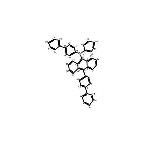 c1ccc(-c2ccc(-c3c4ccccc4c(N(c4ccccc4)c4ccc(-c5ccccc5)cc4)c4ccccc34)cc2)cc1